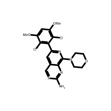 COc1cc(OC)c(Cl)c(-c2cc3cnc(N)nc3c(N3CCOCC3)n2)c1Cl